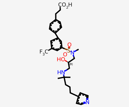 CN(C[C@H](O)CNC(C)(C)CCCc1ccncc1)S(=O)(=O)c1cc(-c2ccc(CCC(=O)O)cc2)cc(C(F)(F)F)c1